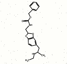 CCNC(C)Cc1ccc2c(c1)OC(CNC(=O)OCc1ccccc1)O2